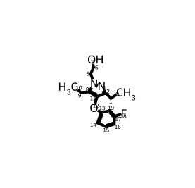 CCc1nn(CCO)c(CC)c1Oc1cccc(F)c1